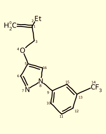 C=C(CC)COc1cnn(-c2cccc(C(F)(F)F)c2)c1